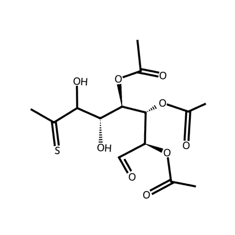 CC(=O)O[C@@H]([C@H](OC(C)=O)[C@H](O)C(O)C(C)=S)[C@H](C=O)OC(C)=O